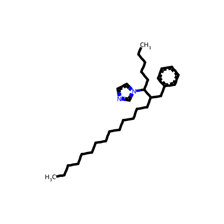 CCCCCCCCCCCCCCC(Cc1ccccc1)C(CCCCC)n1ccnc1